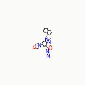 Cc1nc2c(C(=O)/N=C/N(C)C)cc(N3CCOCC3)cc2n1Cc1cccc2ccccc12